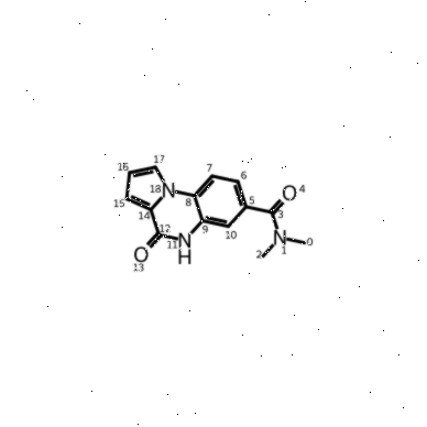 CN(C)C(=O)c1ccc2c(c1)[nH]c(=O)c1cccn12